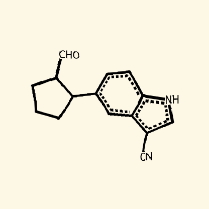 N#Cc1c[nH]c2ccc(C3CCCC3C=O)cc12